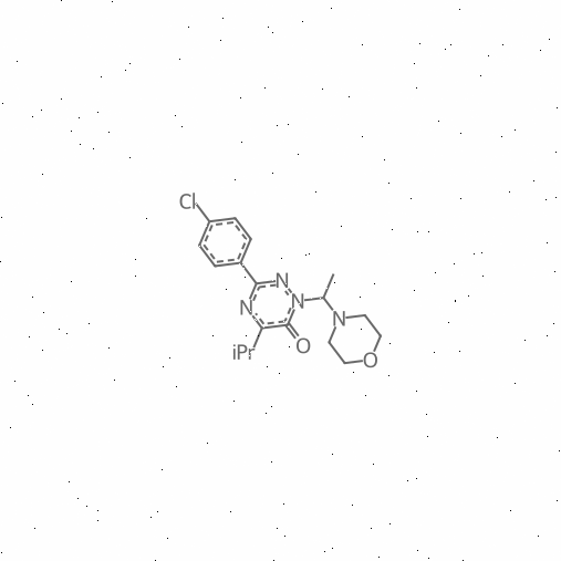 CC(C)c1nc(-c2ccc(Cl)cc2)nn(C(C)N2CCOCC2)c1=O